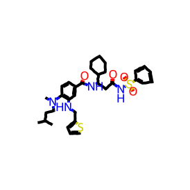 CC(C)CCN(C)c1ccc(C(=O)NC(CC(=O)NS(=O)(=O)c2ccccc2)C2CCCCC2)cc1NCc1cccs1